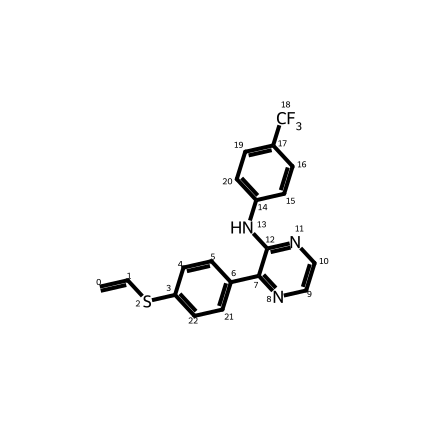 C=CSc1ccc(-c2nccnc2Nc2ccc(C(F)(F)F)cc2)cc1